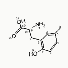 Cc1ccc(O)c(C[C@@H](N)C(=O)O)c1